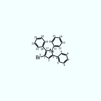 Brc1cc(-c2ccccc2)n(-c2ccccc2)c1-c1ccccc1